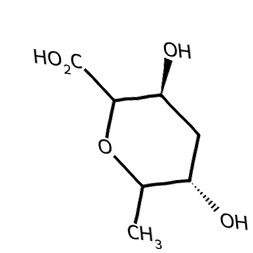 CC1OC(C(=O)O)[C@@H](O)C[C@@H]1O